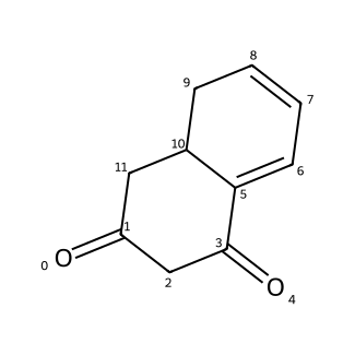 O=C1CC(=O)C2=CC=CCC2C1